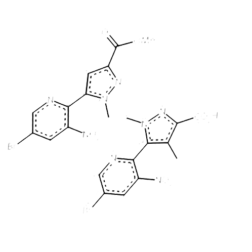 COC(=O)c1cc(-c2ncc(Br)cc2[N+](=O)[O-])n(C)n1.Cc1c(C(=O)O)nn(C)c1-c1ncc(Br)cc1[N+](=O)[O-]